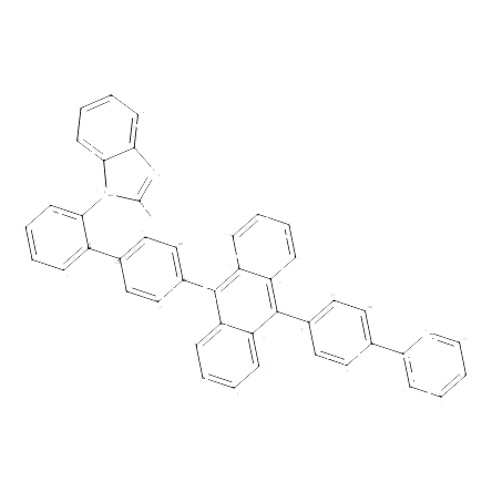 CCc1nc2ccccc2n1-c1ccccc1-c1ccc(-c2c3ccccc3c(-c3ccc(-c4ccccn4)cc3)c3ccccc23)cc1